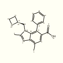 Cc1nc2c(F)cc(C(=O)O)c(-c3ccccc3)c2n1C[C@@H]1CCO1